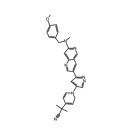 COc1ccc(CN(C)c2cc3ncc(-c4cc(N5C=CC(C(C)(C)C#N)=CC5)cnn4)cc3cn2)cc1